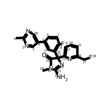 Cc1ncc(-c2ccc(F)c(C3(c4cccc(CF)n4)N=C(N)N(C)C3=O)c2)cn1